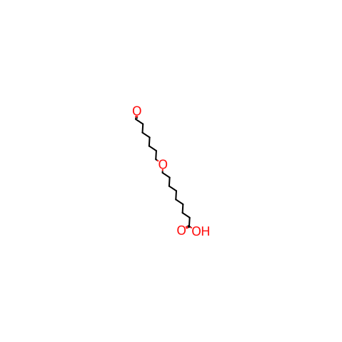 O=CCCCCCCOCCCCCCCCC(=O)O